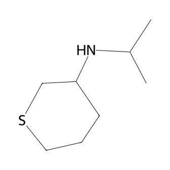 CC(C)NC1CCCSC1